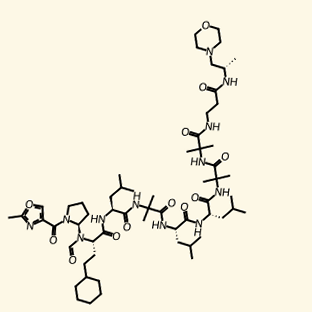 Cc1nc(C(=O)N2CCC[C@H]2N(C=O)[C@@H](CCC2CCCCC2)C(=O)N[C@@H](CC(C)C)C(=O)NC(C)(C)C(=O)N[C@@H](CC(C)C)C(=O)N[C@@H](CC(C)C)C(=O)NC(C)(C)C(=O)NC(C)(C)C(=O)NCCC(=O)N[C@@H](C)CN2CCOCC2)co1